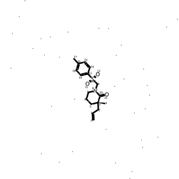 C=CC[C@]1(C)CCCN(CS(=O)(=O)c2ccc(C)cc2)C1=O